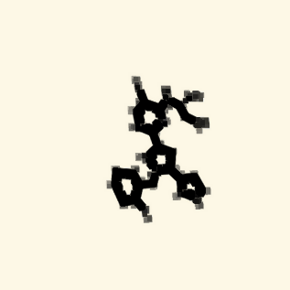 CCC[C@H](CO)Nc1nc(-c2cc(-c3ccon3)n(Cc3ccccc3F)n2)ncc1F